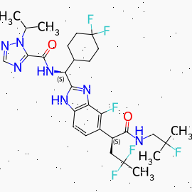 CC(C)n1ncnc1C(=O)N[C@H](c1nc2c(F)c([C@H](CC(C)(F)F)C(=O)NCC(C)(C)F)ccc2[nH]1)C1CCC(F)(F)CC1